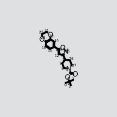 CC(C)(C)OC(=O)N1CCC(c2cc(-c3ccc4c(c3)OCCO4)on2)CC1